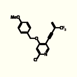 C=C(C#Cc1cnc(Cl)cc1OCc1ccc(OC)cc1)C(F)(F)F